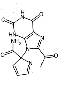 CC(=O)c1nc2c(=O)[nH]c(=O)[nH]c2n1C1(C(N)=O)C=CC=N1